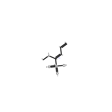 C=C/C=C(\SC)S(=O)(=O)Cl